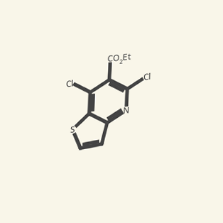 CCOC(=O)c1c(Cl)nc2ccsc2c1Cl